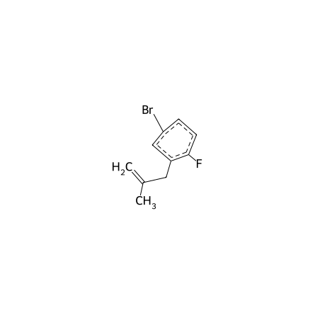 C=C(C)Cc1cc(Br)ccc1F